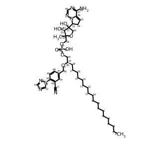 CCCCCCCCCCCCCCCCCCC[C@H](COP(=O)(O)OC[C@@]1(C)OCC(O)(C2CC=C3C(N)=NC=NN32)[C@@H]1O)OCc1ccc(-n2cncn2)c(C#N)c1